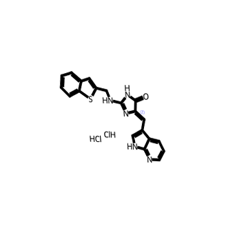 Cl.Cl.O=C1NC(NCc2cc3ccccc3s2)=N/C1=C\c1c[nH]c2ncccc12